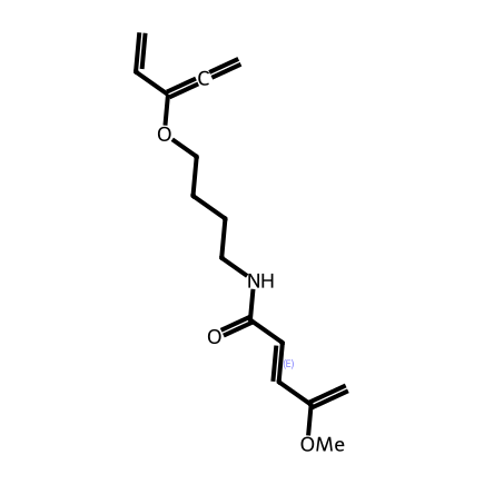 C=C=C(C=C)OCCCCNC(=O)/C=C/C(=C)OC